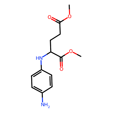 COC(=O)CCC(Nc1ccc(N)cc1)C(=O)OC